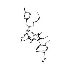 COCCN(Cc1ccc(C)cc1)c1c2c(nc3c(-c4ccc(OC)cc4C)c(C)nn13)CCC2